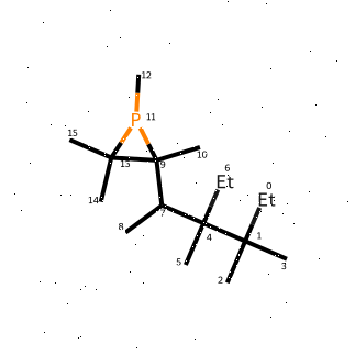 CCC(C)(C)C(C)(CC)C(C)C1(C)P(C)C1(C)C